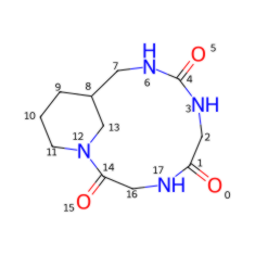 O=C1CNC(=O)NCC2CCCN(C2)C(=O)CN1